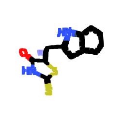 O=C1NC(=S)S/C1=C\c1cc2ccccc2[nH]1